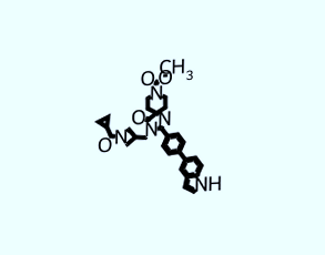 COC(=O)N1CCC2(CC1)N=C(c1ccc(-c3ccc4[nH]ccc4c3)cc1)N(CC1CN(C(=O)C3CC3)C1)C2=O